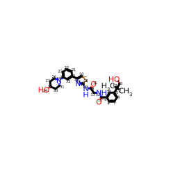 CC(C)(CO)c1cccc(C(=O)NCC(=O)Nc2nc(-c3cccc(N4CCC(O)CC4)c3)cs2)c1